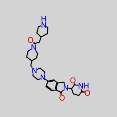 O=C1CCC(N2Cc3cc(N4CCN(CC5CCN(C(=O)CC6CCNCC6)CC5)CC4)ccc3C2=O)C(=O)N1